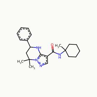 CC1(NC(=O)c2cnn3c2NC(c2ccccc2)CC3(C)C)CCCCC1